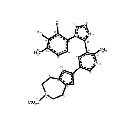 CCOC(=O)N1CCc2cc(-c3cnc(N)c(-c4nnnn4-c4ccc(C)c(F)c4F)c3)sc2CC1